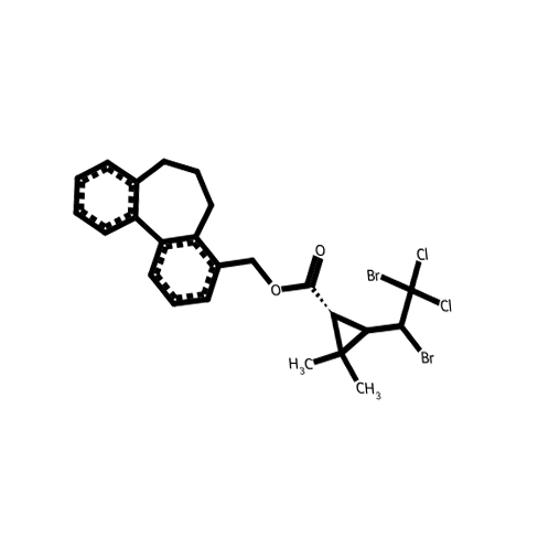 CC1(C)C(C(Br)C(Cl)(Cl)Br)[C@H]1C(=O)OCc1cccc2c1CCCc1ccccc1-2